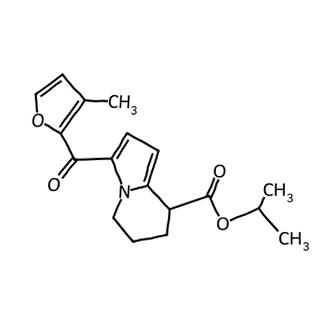 Cc1ccoc1C(=O)c1ccc2n1CCCC2C(=O)OC(C)C